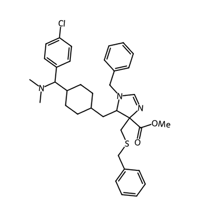 COC(=O)C1(CSCc2ccccc2)N=CN(Cc2ccccc2)C1CC1CCC(C(c2ccc(Cl)cc2)N(C)C)CC1